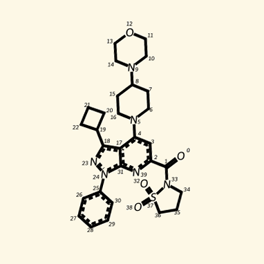 O=C(c1cc(N2CCC(N3CCOCC3)CC2)c2c(C3CCC3)nn(-c3ccccc3)c2n1)N1CCCS1(=O)=O